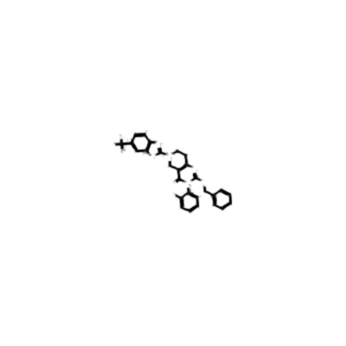 O=c1c2c(nc(SCc3ccccc3)n1-c1ccccc1F)CCN(c1nc3ccc(C(F)(F)F)cc3[nH]1)C2